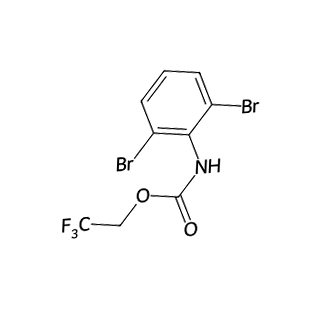 O=C(Nc1c(Br)cccc1Br)OCC(F)(F)F